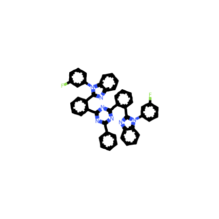 Fc1cccc(-n2c(-c3ccccc3-c3nc(-c4ccccc4)nc(-c4ccccc4-c4nc5ccccc5n4-c4cccc(F)c4)n3)nc3ccccc32)c1